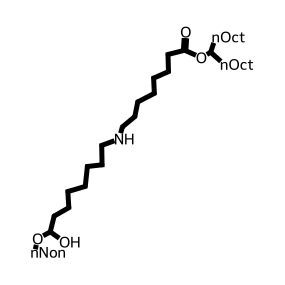 CCCCCCCCCOC(O)CCCCCCCNCCCCCCCC(=O)OC(CCCCCCCC)CCCCCCCC